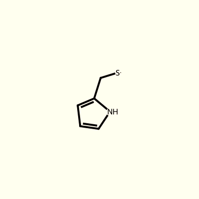 [S]Cc1ccc[nH]1